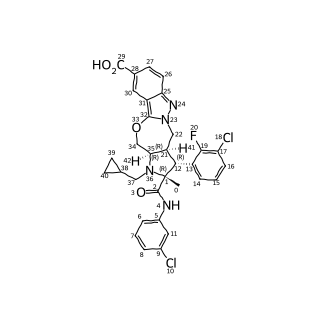 C[C@]1(C(=O)Nc2cccc(Cl)c2)[C@@H](c2cccc(Cl)c2F)[C@@H]2Cn3nc4ccc(C(=O)O)cc4c3OC[C@@H]2N1CC1CC1